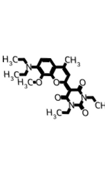 CCN1C(=O)C(=C2C=C(C)c3ccc(N(CC)CC)c(OC)c3O2)C(=O)N(CC)C1=O